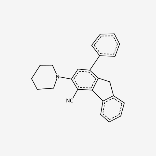 N#Cc1c(N2CCCCC2)cc(-c2ccccc2)c2c1-c1ccccc1C2